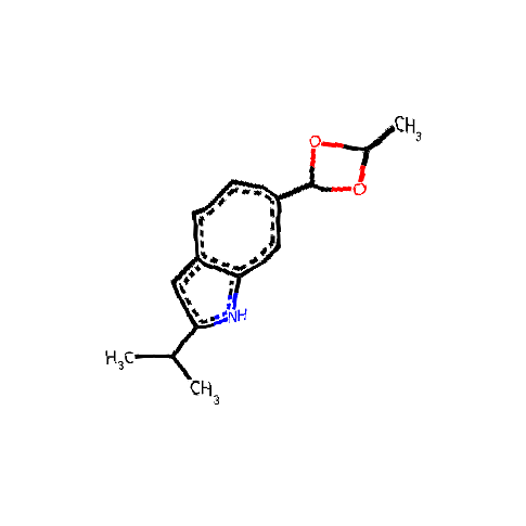 CC1OC(c2ccc3cc(C(C)C)[nH]c3c2)O1